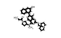 C=CC(=O)N1CCC(N(C)c2nc(OCC34CCCN3CCC4)nc3c(F)c(-c4cc(O)cc5ccccc45)ncc23)C1